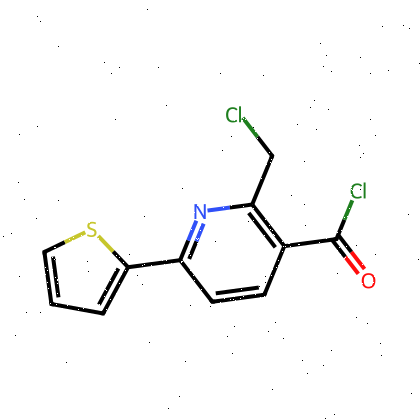 O=C(Cl)c1ccc(-c2cccs2)nc1CCl